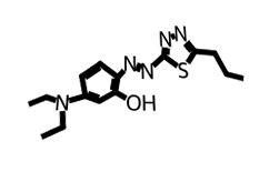 CCCc1nnc(N=Nc2ccc(N(CC)CC)cc2O)s1